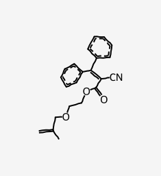 C=C(C)COCCOC(=O)C(C#N)=C(c1ccccc1)c1ccccc1